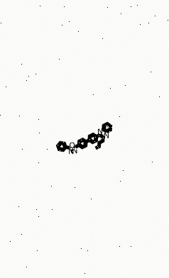 CCCCc1nc2ccccc2nc1-c1ccc(-c2ccc(-c3nnc(-c4ccccc4)o3)cc2)cc1